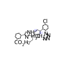 C=C(/C=C\C(=C/C)c1cc(Cl)ccc1-n1cnnn1)C(CC1CC1)c1nc(-c2cccc(C(=O)O)c2)c[nH]1